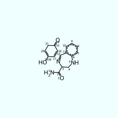 NC(=O)C1CNc2ccccc2C=N1.O=C1C=CC(O)=CC1